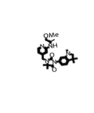 COC[C@@H](C)Nc1cc(CN2C(=O)N(c3ccc4c(c3)N(C)CC4(C)C)C(=O)C2(C)C)ccn1